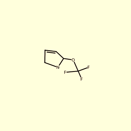 FC(F)(F)OC1C=CC[N]1